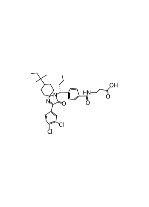 CCC[C@H](c1ccc(C(=O)NCCC(=O)O)cc1)N1C(=O)C(c2ccc(Cl)c(Cl)c2)=NC12CCC(C(C)(C)CC)CC2